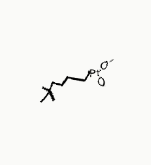 CC(C)(C)CCCC[CH2][Pt](=[O])[O-]